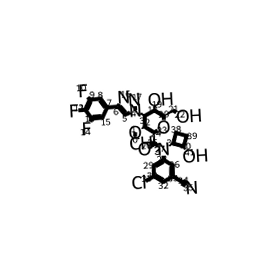 CO[C@@H]1[C@@H](n2cc(-c3cc(F)c(F)c(F)c3)nn2)[C@@H](O)[C@@H](CO)O[C@H]1C(=O)N(c1cc(Cl)cc(C#N)c1)[C@@H]1CC[C@H]1O